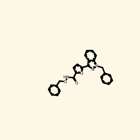 O=C(NOCc1ccccc1)c1ccc(-c2nn(Cc3ccccc3)c3ccccc23)o1